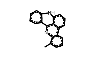 Cc1cccc2c1nc1c3c(cccc32)Nc2ccccc2-1